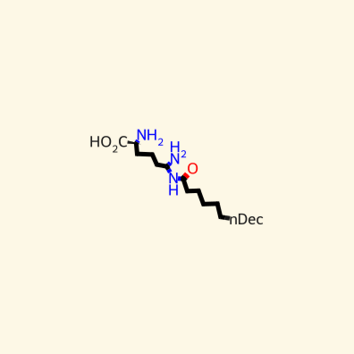 CCCCCCCCCCCCCCCC(=O)NC(N)CCC[C@H](N)C(=O)O